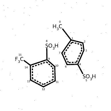 Cc1ccc(S(=O)(=O)O)cc1.O=S(=O)(O)c1ccccc1C(F)(F)F